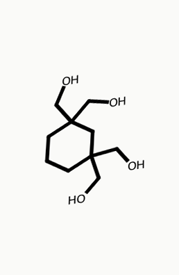 OCC1(CO)CCCC(CO)(CO)C1